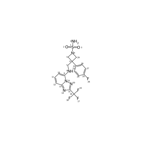 NS(=O)(=O)N1CC(CNc2cccc3nc(C(F)(F)F)nn23)(c2ccc(F)cc2)C1